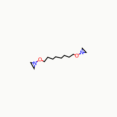 C(CCCCON1CC1)CCCON1CC1